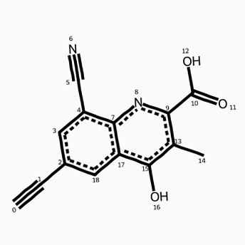 C#Cc1cc(C#N)c2nc(C(=O)O)c(C)c(O)c2c1